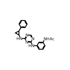 CC(=O)Nc1cccc(Nc2ncnc(NC3CC3c3ccccc3)n2)c1